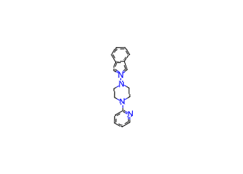 c1ccc(N2CCN(n3cc4ccccc4c3)CC2)nc1